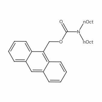 CCCCCCCCN(CCCCCCCC)C(=O)OCc1c2ccccc2cc2ccccc12